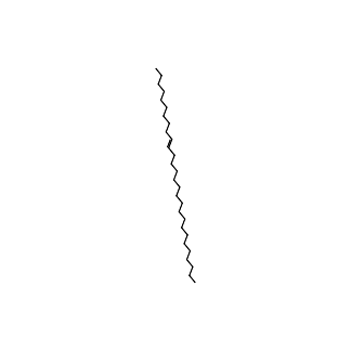 CCCCCCCCCC=CCCCCCCCCCCCCCCCCC